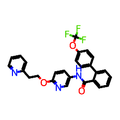 O=C(Nc1ccc(OCCc2ccccn2)nc1)c1ccccc1-c1ccc(OC(F)(F)F)cc1